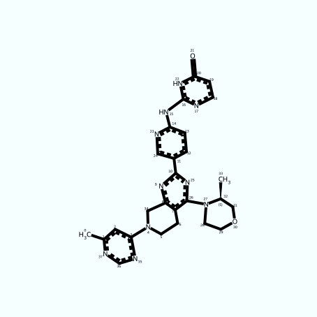 Cc1cc(N2CCc3c(nc(-c4ccc(Nc5nccc(=O)[nH]5)nc4)nc3N3CCOC[C@@H]3C)C2)ncn1